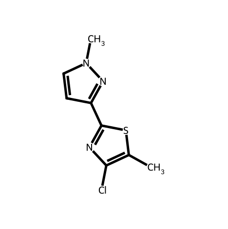 Cc1sc(-c2ccn(C)n2)nc1Cl